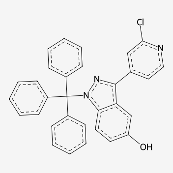 Oc1ccc2c(c1)c(-c1ccnc(Cl)c1)nn2C(c1ccccc1)(c1ccccc1)c1ccccc1